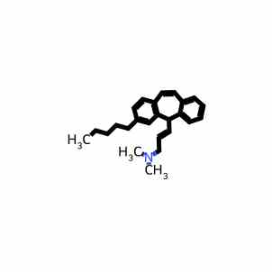 CCCCCc1ccc2c(c1)C(C=CCN(C)C)c1ccccc1C=C2